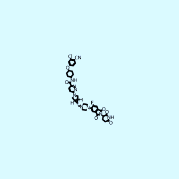 N#Cc1ccc(OC2CCC(NC(=O)c3ccc(N4C[C@@H]5[C@H](CN6CCN(c7cc8c(cc7F)C(=O)N(C7CCC(=O)NC7=O)C8=O)CC6)[C@@H]5C4)nn3)CC2)cc1Cl